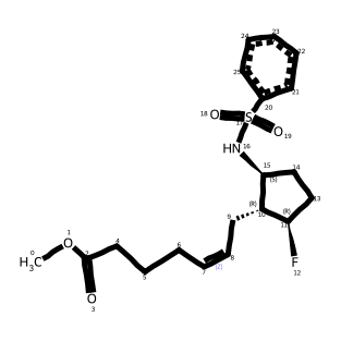 COC(=O)CCC/C=C\C[C@H]1[C@H](F)CC[C@@H]1NS(=O)(=O)c1ccccc1